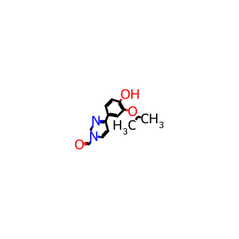 CC(C)Oc1cc(C2=NCN(C=O)C=C2)ccc1O